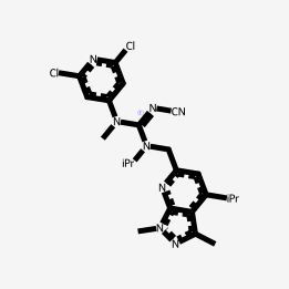 Cc1nn(C)c2nc(CN(/C(=N\C#N)N(C)c3cc(Cl)nc(Cl)c3)C(C)C)cc(C(C)C)c12